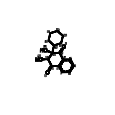 O=C1c2ccccc2C(=O)[C@@](O)(C2CCCCC2)[C@@H]1O